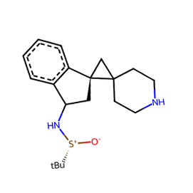 CC(C)(C)[S@@+]([O-])NC1C[C@]2(CC23CCNCC3)c2ccccc21